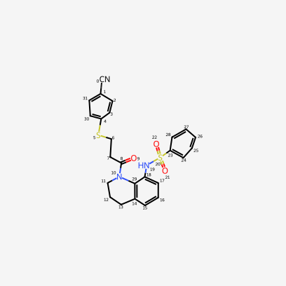 N#Cc1ccc(SCCC(=O)N2CCCc3cccc(NS(=O)(=O)c4ccccc4)c32)cc1